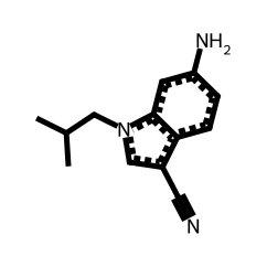 CC(C)Cn1cc(C#N)c2ccc(N)cc21